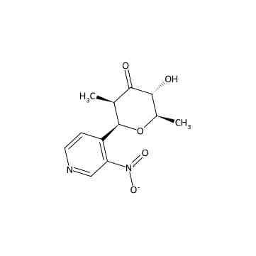 C[C@H]1O[C@@H](c2ccncc2[N+](=O)[O-])[C@@H](C)C(=O)[C@@H]1O